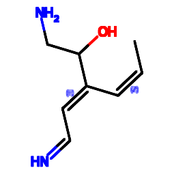 C/C=C\C(=C/C=N)C(O)CN